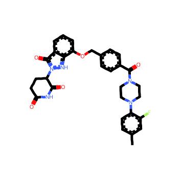 Cc1ccc(N2CCN(C(=O)c3ccc(COc4cccc5c(=O)n(C6CCC(=O)NC6=O)[nH]c45)cc3)CC2)c(F)c1